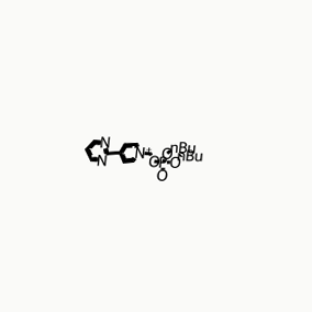 CCCCOP(=O)(OCCCC)OC[n+]1ccc(-c2ncccn2)cc1